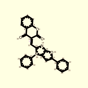 O=C1Oc2ccccc2C(=O)/C1=C/c1nc2oc(-c3ccccc3)cc2n1-c1ccccc1